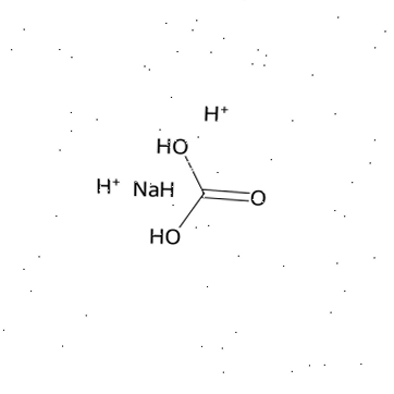 O=C(O)O.[H+].[H+].[NaH]